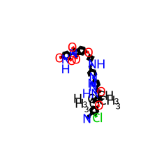 CC1(C)[C@H](NC(=O)c2ccc(N3CCC(CN[C@H]4C[C@H](Oc5ccc6c(c5)C(=O)N(C5CCC(=O)NC5=O)C6=O)C4)CC3)nn2)C(C)(C)[C@H]1Oc1ccc(C#N)c(Cl)c1